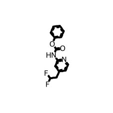 O=C(Nc1cc(CC(F)F)ccn1)Oc1ccccc1